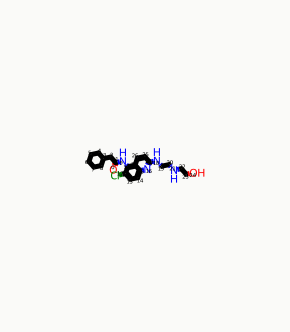 O=C(CC1CCCCC1)Nc1c(Cl)ccc2nc(NCCNCCO)ccc12